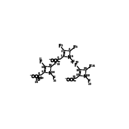 O=C([O-])C1=C(F)C(F)N1F.O=C([O-])C1=C(F)C(F)N1F.O=C([O-])C1=C(F)C(F)N1F.[Tb+3]